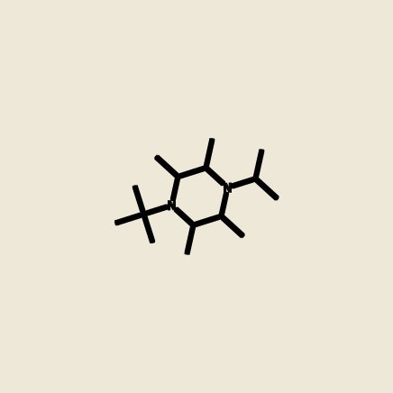 CC(C)N1C(C)C(C)N(C(C)(C)C)C(C)C1C